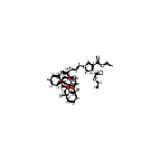 CCOC(=O)[C@@H]1CN(CCNc2nc3ccccc3n([C@H]3C[C@H]4CCC[C@@H](C3)N4C34CC5CC(CC(C5)C3)C4)c2=O)C[C@H]1C(=O)OCC